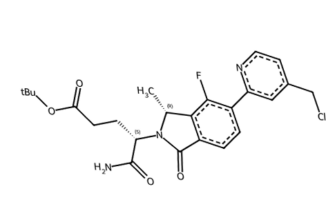 C[C@@H]1c2c(ccc(-c3cc(CCl)ccn3)c2F)C(=O)N1[C@@H](CCC(=O)OC(C)(C)C)C(N)=O